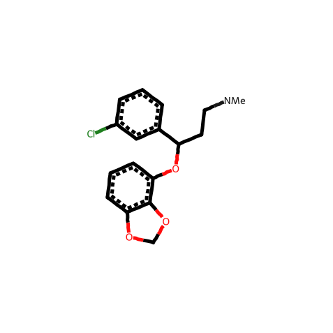 CNCCC(Oc1cccc2c1OCO2)c1cccc(Cl)c1